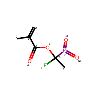 C=C(C)C(=O)OC(C)(F)P(=O)=O